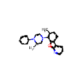 Cc1ccc2c(oc3ncccc32)c1N1C=CN(c2ccccc2)[C@H](C)C1